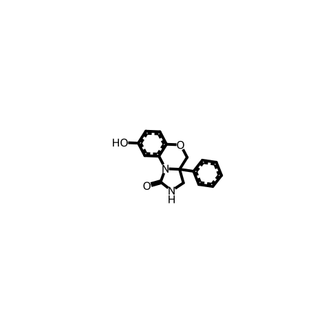 O=C1NCC2(c3ccccc3)COc3ccc(O)cc3N12